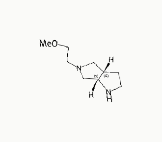 COCCN1C[C@@H]2CCN[C@@H]2C1